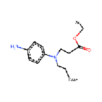 COCCN(CCC(=O)OCC(C)=O)c1ccc(N)cc1